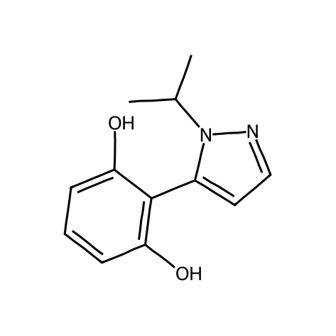 CC(C)n1nccc1-c1c(O)cccc1O